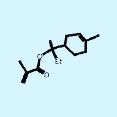 C=C(C)C(=O)OC(C)(CC)C1CC=C(C)CC1